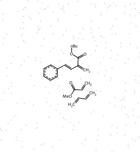 C=C(C=Cc1ccccc1)C(=O)OCCCC.C=CC(=O)OC.C=CC=C